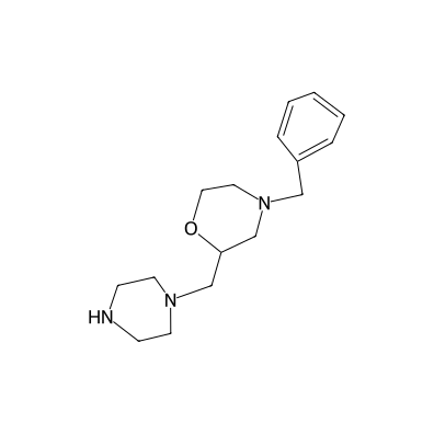 c1ccc(CN2CCOC(CN3CCNCC3)C2)cc1